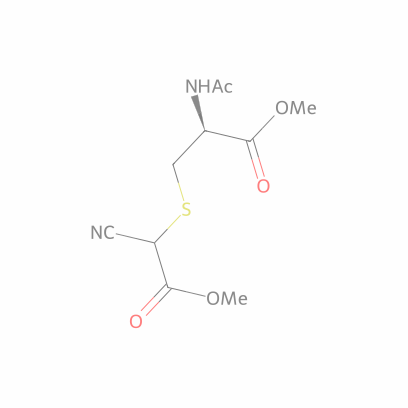 COC(=O)C(C#N)SC[C@@H](NC(C)=O)C(=O)OC